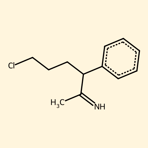 CC(=N)C(CCCCl)c1ccccc1